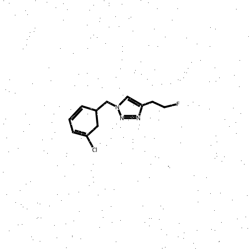 FCCc1cn(CC2C=CC=C(Cl)C2)nn1